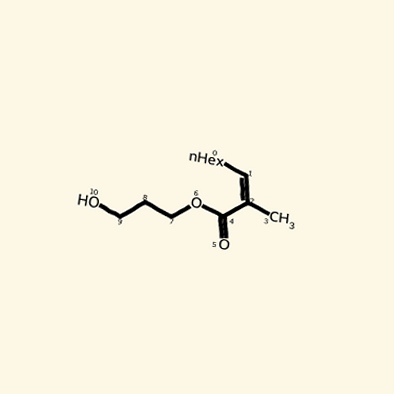 CCCCCCC=C(C)C(=O)OCCCO